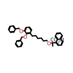 CCOC(=O)[C@@](C)(OCCCCCCc1cccc(OCc2ccccc2)c1OCc1ccccc1)c1cccc2ccccc12